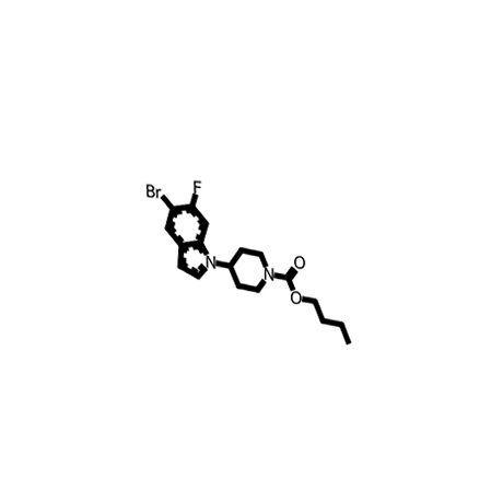 CCCCOC(=O)N1CCC(n2ccc3cc(Br)c(F)cc32)CC1